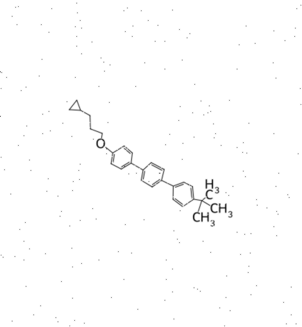 CC(C)(C)c1ccc(-c2ccc(-c3ccc(OCCCC4CC4)cc3)cc2)cc1